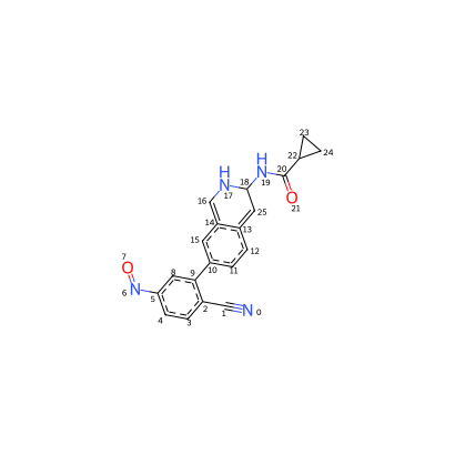 N#Cc1ccc(N=O)cc1-c1ccc2c(c1)=CNC(NC(=O)C1CC1)C=2